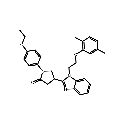 CCOc1ccc(N2CC(c3nc4ccccc4n3CCOc3cc(C)ccc3C)CC2=O)cc1